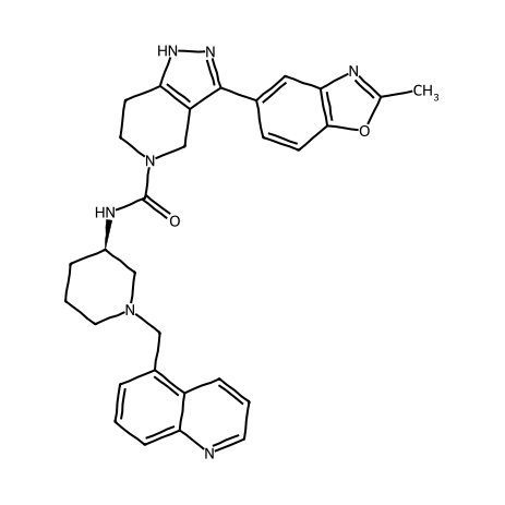 Cc1nc2cc(-c3n[nH]c4c3CN(C(=O)N[C@@H]3CCCN(Cc5cccc6ncccc56)C3)CC4)ccc2o1